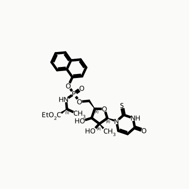 CCOC(=O)[C@H](C)NP(=O)(OC[C@H]1O[C@@H](n2ccc(=O)[nH]c2=S)[C@](C)(O)C1O)Oc1cccc2ccccc12